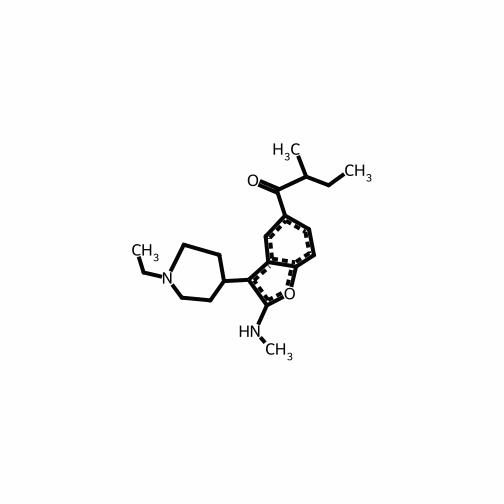 CCC(C)C(=O)c1ccc2oc(NC)c(C3CCN(CC)CC3)c2c1